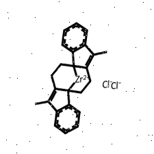 CC1=C2CC[C]34[Zr+2][C]2(CCC3=C(C)c2ccccc24)c2ccccc21.[Cl-].[Cl-]